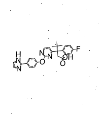 CC(C)(C)C(CC(=O)O)(c1ccc(F)cc1)c1ccnc(Oc2ccc(-c3ncc[nH]3)cc2)n1